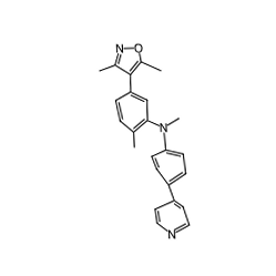 Cc1ccc(-c2c(C)noc2C)cc1N(C)c1ccc(-c2ccncc2)cc1